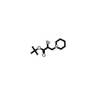 CC(C)(C)OC(=O)C(Br)CN1CCCCC1